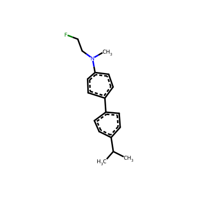 CC(C)c1ccc(-c2ccc(N(C)CCF)cc2)cc1